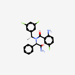 C[C@H](c1cc(F)cc(F)c1)N(C(=O)c1cc(F)ccc1N)[C@@H](C(N)=O)c1ccccc1